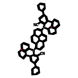 N#Cc1cc(-c2ccccc2)cc(-c2ccccc2)c1N(C1=CC=C2C=CC3=C(N(c4ccccc4)c4c(C#N)cc(-c5ccccc5)cc4-c4ccccc4)C=CC4=CC=C1C2C43)c1ccccc1